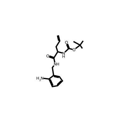 C=CCC(NC(=O)OC(C)(C)C)C(=O)NCc1ccccc1N